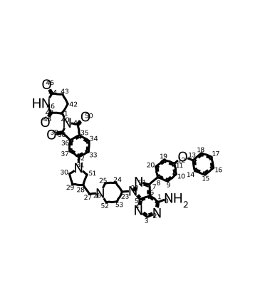 Nc1ncnc2c1c(-c1ccc(Oc3ccccc3)cc1)nn2C1CCN(CC2CCN(c3ccc4c(c3)C(=O)N(C3CCC(=O)NC3=O)C4=O)C2)CC1